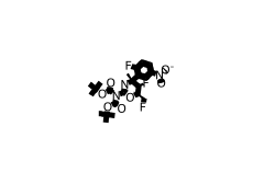 CC(C)(C)OC(=O)N(C(=O)OC(C)(C)C)C1=N[C@](C)(c2cc([N+](=O)[O-])ccc2F)[C@@H](F)[C@@H](CF)O1